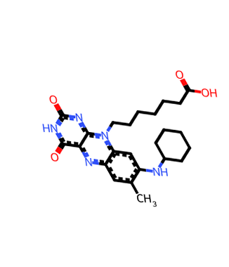 Cc1cc2nc3c(=O)[nH]c(=O)nc-3n(CCCCCCC(=O)O)c2cc1NC1CCCCC1